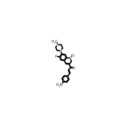 CCN1CC(C(=O)C=Cc2ccc([N+](=O)[O-])cc2)=Cc2cc(F)c(N3CCN(C)CC3)cc21